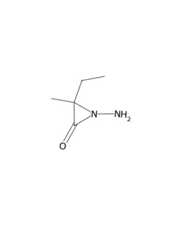 CCC1(C)C(=O)N1N